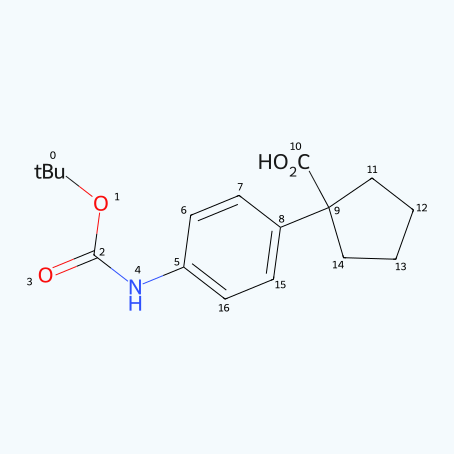 CC(C)(C)OC(=O)Nc1ccc(C2(C(=O)O)CCCC2)cc1